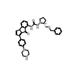 O=C(Nc1cccc2c1C(=O)C1=C(c3ccc(N4CCNCC4)cc3)C=CC12)NN1CCC[C@@H]1COCc1ccccc1